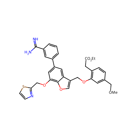 CCOC(=O)Cc1ccc(COC)cc1OCc1coc2c(OCc3nccs3)cc(-c3cccc(C(=N)N)c3)cc12